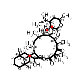 CO[C@]1(C)C[C@@H](C)CN(C)C(C2C[C@H]3CCC[C@@H](C2)N3CC(C)C)COC(=O)C(C)(C)C(=O)[C@H](C)[C@H]1O[C@@H]1O[C@H](C)C[C@H](N(C)C)[C@H]1O